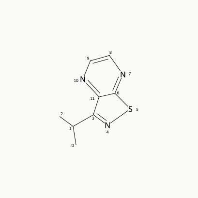 CC(C)c1nsc2nccnc12